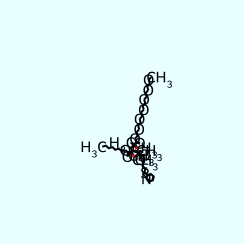 CCCCCCCOC(=O)C(C)(CC(C)(C)C(=O)OCCOCCOCCOCCOCCOCCOC)CC(C)(CC)C(=O)OCCSSc1ccccn1